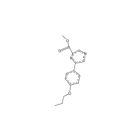 CCCOc1ccc(-c2cncc(C(=O)OC)n2)cc1